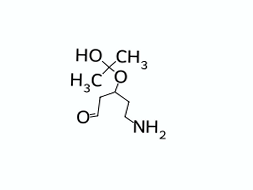 CC(C)(O)OC(CC=O)CCN